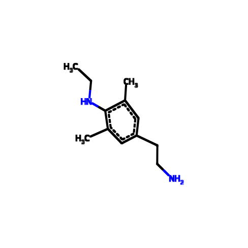 CCNc1c(C)cc(CCN)cc1C